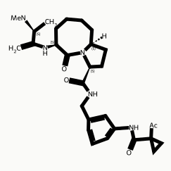 C=C(N[C@H]1CCCC[C@H]2CC[C@@H](C(=O)NCc3cccc(NC(=O)C4(C(C)=O)CC4)c3)N2C1=O)[C@H](C)NC